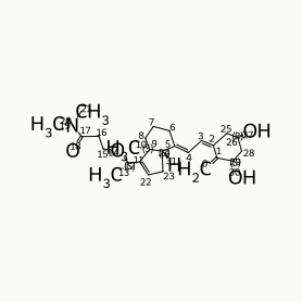 C=C1C(=CC=C2CCC[C@]3(C)C([C@H](C)OCCC(=O)N(C)C)=CC[C@@H]23)C[C@@H](O)C[C@@H]1O